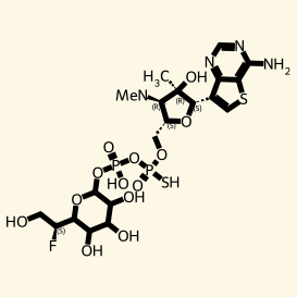 CN[C@@H]1[C@@H](COP(=O)(S)OP(=O)(O)OC2OC([C@@H](F)CO)C(O)C(O)C2O)O[C@@H](c2csc3c(N)ncnc23)[C@]1(C)O